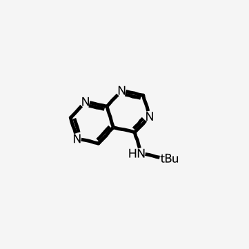 CC(C)(C)Nc1ncnc2ncncc12